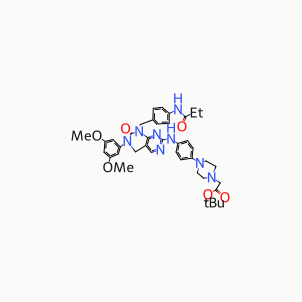 CCC(=O)Nc1ccc(CN2C(=O)N(c3cc(OC)cc(OC)c3)Cc3cnc(Nc4ccc(N5CCN(CC(=O)OC(C)(C)C)CC5)cc4)nc32)cc1